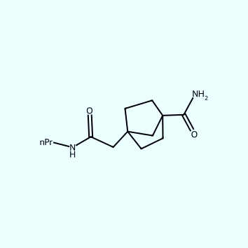 CCCNC(=O)CC12CCC(C(N)=O)(CC1)C2